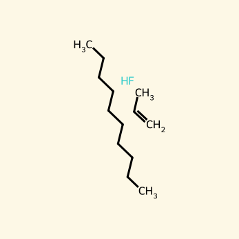 C=CC.CCCCCCCCCC.F